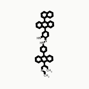 C=C/N=C\C(=C/C)c1c2ccccc2c(-c2ccc(N/N=C3/C=CC(c4c5ccccc5c(-c5cccc6ccccc56)c5ccccc45)=CC3=N)cc2)c2ccccc12